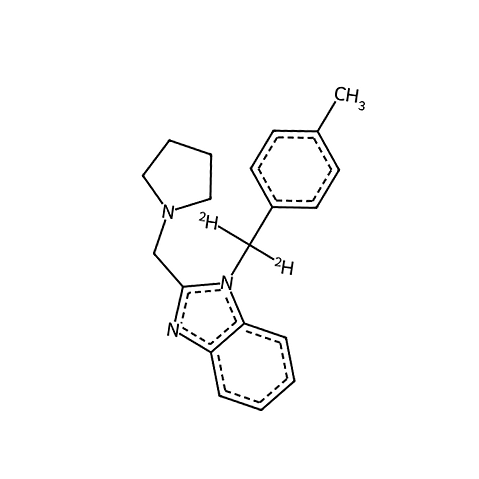 [2H]C([2H])(c1ccc(C)cc1)n1c(CN2CCCC2)nc2ccccc21